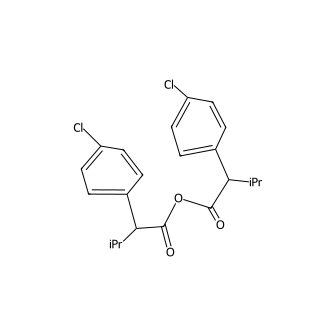 CC(C)C(C(=O)OC(=O)C(c1ccc(Cl)cc1)C(C)C)c1ccc(Cl)cc1